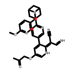 COc1ccc(CN2C3CC2CN(c2ccc(C4=CC(OCC(C)=O)=CN/C4=C(/C#N)C=N)cn2)C3)cn1